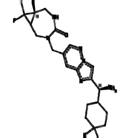 N[C@H](c1cn2ncc(CN3CC4[C@@H](CNC3=O)C4(F)F)cc2n1)C1CCC(F)(F)CC1